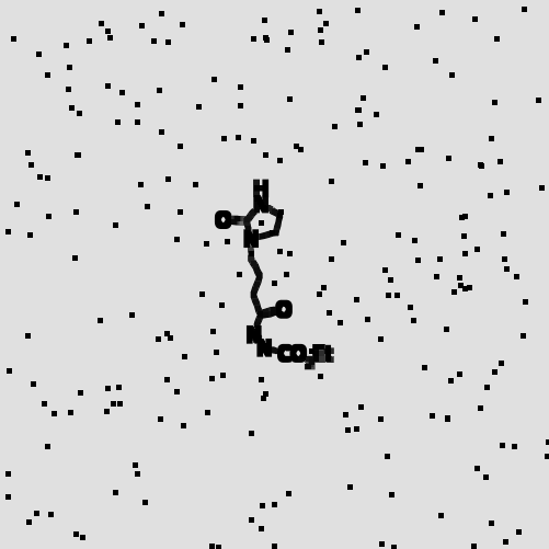 CCOC(=O)/N=N\C(=O)CCCN1CCNC1=O